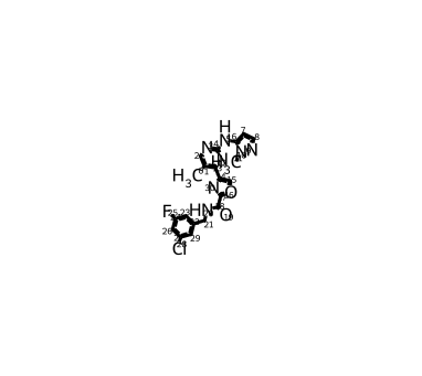 Cc1cnc(Nc2ccnn2C)nc1-c1coc(C(=O)NCc2cc(F)cc(Cl)c2)n1